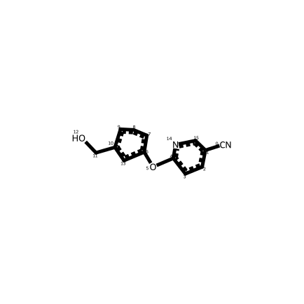 N#Cc1ccc(Oc2cccc(CO)c2)nc1